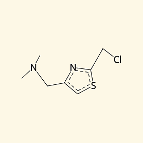 CN(C)Cc1csc(CCl)n1